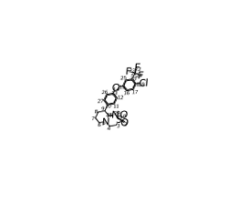 O=S1(=O)CCN2CCCC(c3ccc(Oc4ccc(Cl)c(C(F)(F)F)c4)cc3)C2=N1